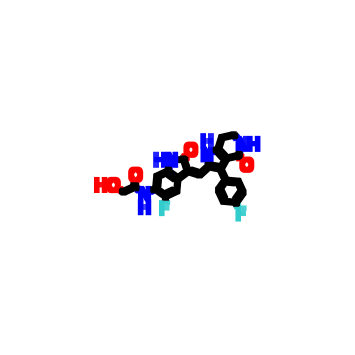 O=C(CO)Nc1cc2c(cc1F)C(=Cc1[nH]c3c(c1-c1ccc(F)cc1)C(=O)NCC3)C(=O)N2